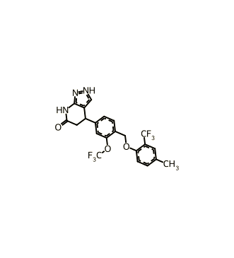 Cc1ccc(OCc2ccc(C3CC(=O)Nc4n[nH]cc43)cc2OC(F)(F)F)c(C(F)(F)F)c1